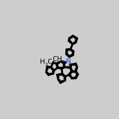 CC1(C)c2ccccc2-c2c1cc1c3c2-c2ccccc2-c2cccc4ccc(c3c24)n1-c1ccc(-c2ccccc2)cc1